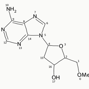 COCC1OC(n2cnc3c(N)ncnc32)CC1O